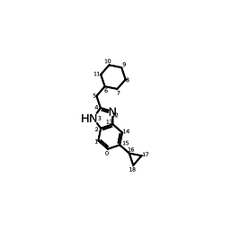 c1cc2[nH]c(CC3CCCCC3)nc2cc1C1CC1